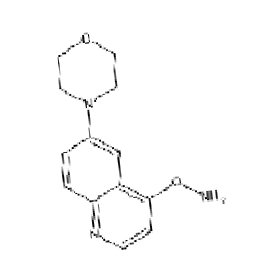 NOc1ccnc2ccc(N3CCOCC3)cc12